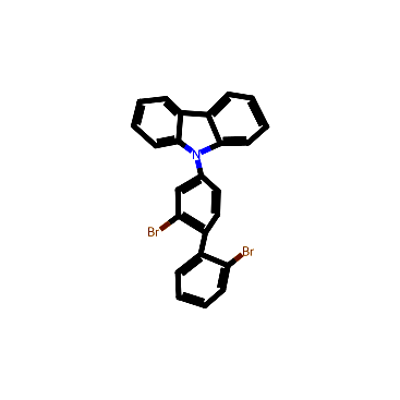 Brc1ccccc1-c1ccc(-n2c3ccccc3c3ccccc32)cc1Br